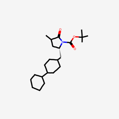 CC1C[C@@H](CC2CCC(C3CCCCC3)CC2)N(C(=O)OC(C)(C)C)C1=O